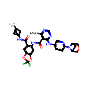 COc1ncnc(Nc2ccc(N3C4COCC3C4)nc2)c1C(=O)Nc1cc2c(cc1C(=O)NC13CC(C(F)(F)F)(C1)C3)OC(F)(F)O2